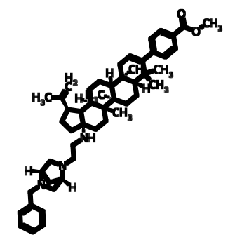 C=C(C)[C@@H]1CC[C@]2(NCCN3C[C@@H]4C[C@H]3CN4Cc3ccccc3)CC[C@]3(C)[C@H](CC[C@@H]4[C@@]5(C)CC=C(c6ccc(C(=O)OC)cc6)C(C)(C)[C@@H]5CC[C@]43C)C12